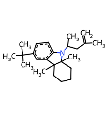 C=C(C)CC(C)N1c2ccc(C(C)(C)C)cc2C2(C)CCCCC12C